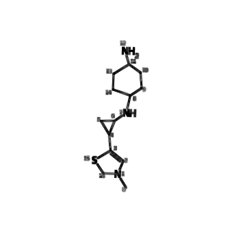 CN1C=C(C2CC2NC2CCC(N)CC2)SC1